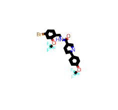 O=C(NCc1ccc(Br)cc1OC(F)(F)F)c1ccc(-c2ccc(OC(F)(F)F)cc2)nc1